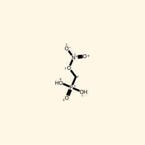 O=[N+]([O-])OCP(=O)(O)O